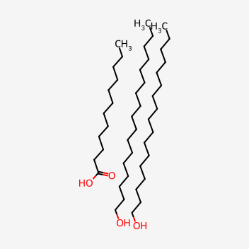 CCCCCCCCCCCC(=O)O.CCCCCCCCCCCCCCCCCO.CCCCCCCCCCCCCCCCCO